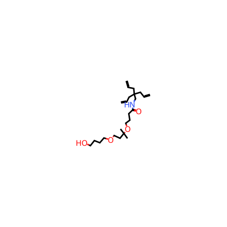 C=CCC(CC=C)(CC=C)CNC(=O)CCCOC(C)(C)CCOCCCCO